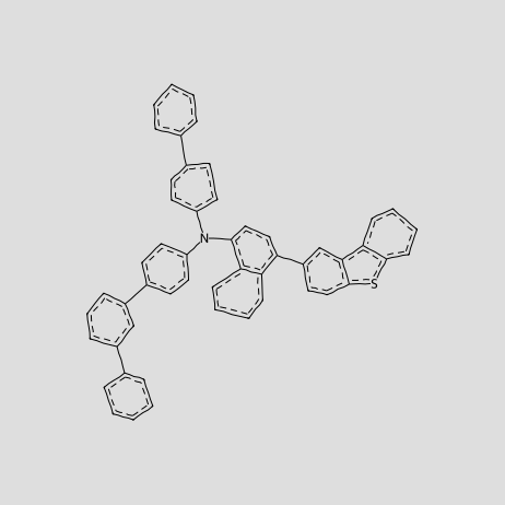 c1ccc(-c2ccc(N(c3ccc(-c4cccc(-c5ccccc5)c4)cc3)c3ccc(-c4ccc5sc6ccccc6c5c4)c4ccccc34)cc2)cc1